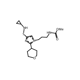 COC(=O)NCCCn1cc(SNC2CC2)nc1C1CCOCC1